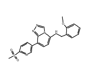 COc1ccccc1CNc1ccc(-c2ccc(S(C)(=O)=O)nc2)c2nncn12